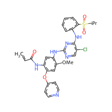 C=CC(=O)Nc1cc(Nc2ncc(Cl)c(Nc3ccccc3S(=O)(=O)C(C)C)n2)c(OC)cc1Oc1ccncc1